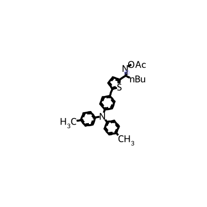 CCCC/C(=N\OC(C)=O)c1ccc(-c2ccc(N(c3ccc(C)cc3)c3ccc(C)cc3)cc2)s1